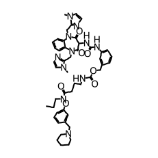 CCCN(Oc1cccc(CN2CCCCC2)c1)C(=O)CCCNC(=O)OCc1cccc(NC(=O)NC2C(=O)N(Cc3nccn3C)c3ccccc3N(Cc3nccn3C)C2=O)c1